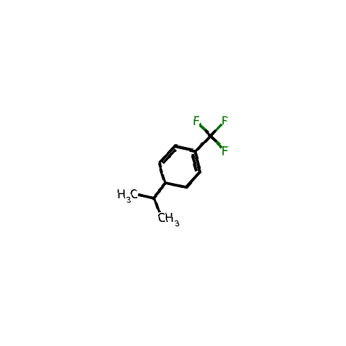 CC(C)C1C=CC(C(F)(F)F)=CC1